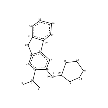 CN(C)c1cc2c(cc1NC1CCCCC1)-c1ccccc1C2